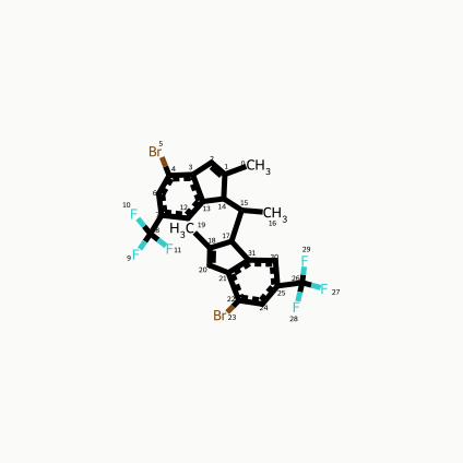 CC1=Cc2c(Br)cc(C(F)(F)F)cc2C1C(C)C1C(C)=Cc2c(Br)cc(C(F)(F)F)cc21